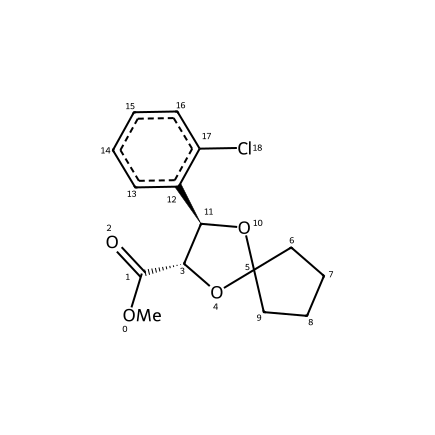 COC(=O)[C@H]1OC2(CCCC2)O[C@@H]1c1ccccc1Cl